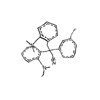 CN(C)c1ccccc1C(C#N)(c1cccc(F)c1)c1ccccc1N(C)C